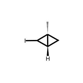 C[C@]12C[C@@H]1C2I